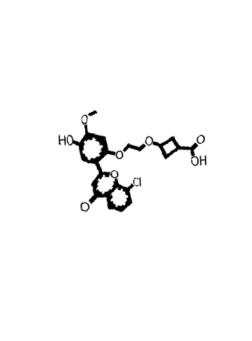 COc1cc(OCCOC2CC(C(=O)O)C2)c(-c2cc(=O)c3cccc(Cl)c3o2)cc1O